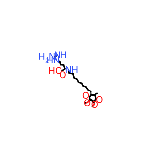 COC1=C(OC)C(=O)C(CCCCCCCCCCNC(CCCNC(=N)N)C(=O)O)=C(C)C1=O